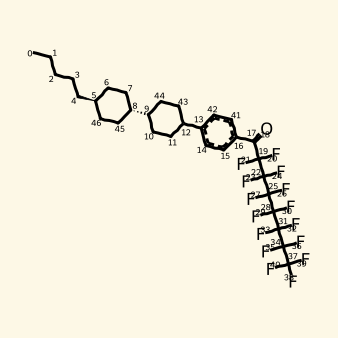 CCCCC[C@H]1CC[C@H](C2CCC(c3ccc(C(=O)C(F)(F)C(F)(F)C(F)(F)C(F)(F)C(F)(F)C(F)(F)C(F)(F)F)cc3)CC2)CC1